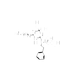 CC(=O)O.CCCCCCCCCNC1=NC(C)(C)N=C(NCCc2ccccc2)N1